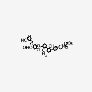 Cc1c(COc2cc(OCc3cncc(C#N)c3)c(C=O)cc2Cl)cccc1-c1cccc(-c2ccc(N3CCN(C(=O)OC(C)(C)C)CC3)cc2)c1C